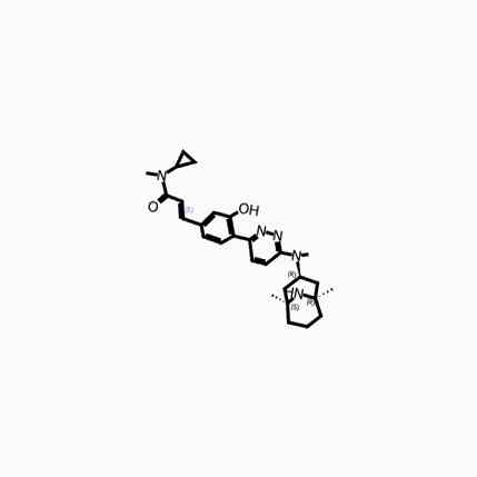 CN(C(=O)/C=C/c1ccc(-c2ccc(N(C)[C@@H]3C[C@]4(C)CCC[C@](C)(C3)N4)nn2)c(O)c1)C1CC1